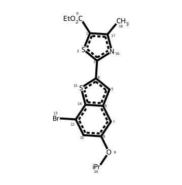 CCOC(=O)c1sc(-c2cc3cc(OC(C)C)cc(Br)c3s2)nc1C